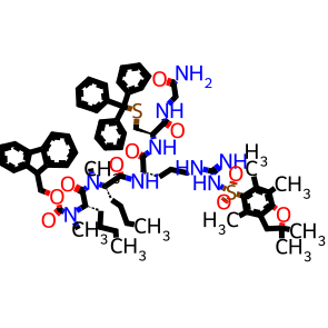 CCCC[C@@H](C(=O)N(C)[C@@H](CCCC)C(=O)N[C@@H](CCCNC(=N)NS(=O)(=O)c1c(C)c(C)c2c(c1C)CC(C)(C)O2)C(=O)N[C@@H](CSC(c1ccccc1)(c1ccccc1)c1ccccc1)C(=O)NCC(N)=O)N(C)C(=O)OCC1c2ccccc2-c2ccccc21